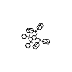 CC(C)(c1ccccc1)c1cc(CP(C23CC4CC(CC(C4)C2)C3)C23CC4CC(CC(C4)C2)C3)c(CP(C23CC4CC(CC(C4)C2)C3)C23CC4CC(CC(C4)C2)C3)cc1C(C)(C)c1ccccc1